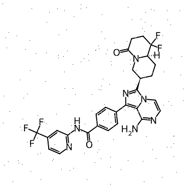 Nc1nccn2c([C@@H]3CC[C@H]4N(C3)C(=O)CCC4(F)F)nc(-c3ccc(C(=O)Nc4cc(C(F)(F)F)ccn4)cc3)c12